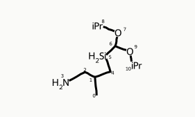 CC(CN)C[SiH2]C(OC(C)C)OC(C)C